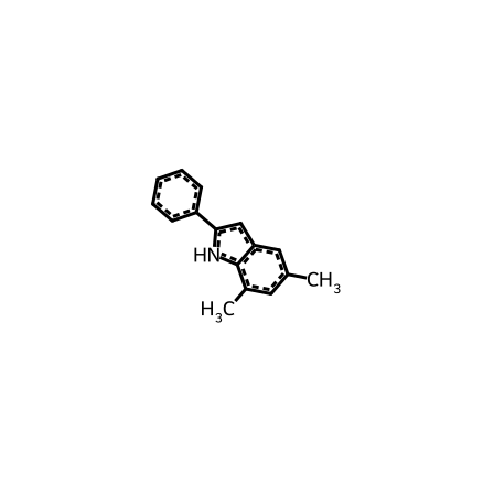 Cc1cc(C)c2[nH]c(-c3ccccc3)cc2c1